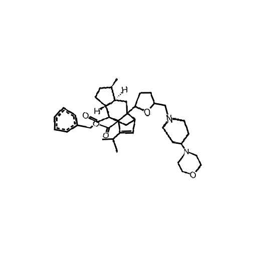 CC(C)C1=CC2CC3(C=O)[C@@H]4CC[C@@H](C)[C@H]4CC2(C2CCC(CN4CCC(N5CCOCC5)CC4)O2)C13C(=O)OCc1ccccc1